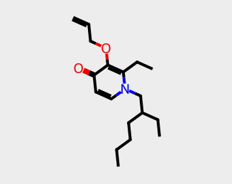 C=CCOc1c(CC)n(CC(CC)CCCC)ccc1=O